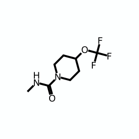 CNC(=O)N1CCC(OC(F)(F)F)CC1